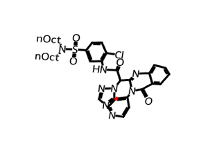 CCCCCCCCN(CCCCCCCC)S(=O)(=O)c1ccc(Cl)c(NC(=O)C(c2nc3ccccc3c(=O)n2-c2ccncc2)n2cncn2)c1